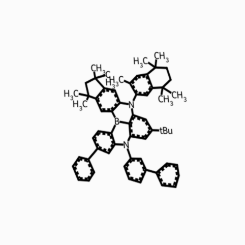 Cc1cc2c(cc1N1c3cc4c(cc3B3c5ccc(-c6ccccc6)cc5N(c5cccc(-c6ccccc6)c5)c5cc(C(C)(C)C)cc1c53)C(C)(C)CC4(C)C)C(C)(C)CCC2(C)C